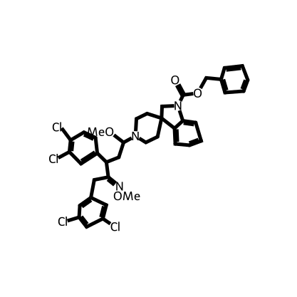 CON=C(Cc1cc(Cl)cc(Cl)c1)C(CC(OC)N1CCC2(CC1)CN(C(=O)OCc1ccccc1)c1ccccc12)c1ccc(Cl)c(Cl)c1